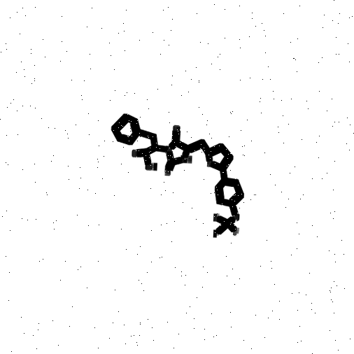 O=C(O)C(Cc1ccccc1)N1C(=O)/C(=C/c2ccc(-c3ccc(OC(F)(F)F)cc3)s2)NC1=S